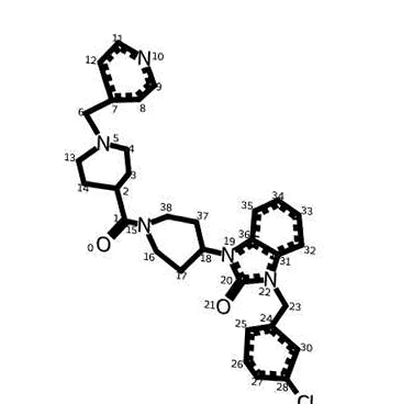 O=C(C1CCN(Cc2ccncc2)CC1)N1CCC(n2c(=O)n(Cc3cccc(Cl)c3)c3ccccc32)CC1